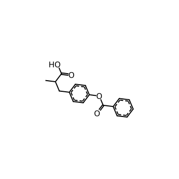 CC(Cc1ccc(OC(=O)c2ccccc2)cc1)C(=O)O